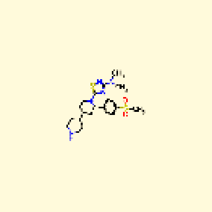 CN(C)c1nsc(N2CCC(C3CCNCC3)C[C@@H]2c2ccc(S(C)(=O)=O)cc2)n1